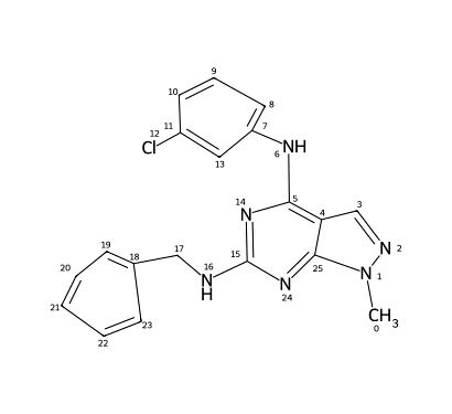 Cn1ncc2c(Nc3cccc(Cl)c3)nc(NCc3ccccc3)nc21